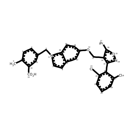 Cc1ccc(Cn2ccc3cc(OCc4c(-c5c(Cl)cccc5Cl)noc4C(C)C)ccc32)cc1C(=O)O